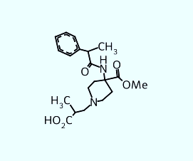 COC(=O)C1(NC(=O)C(C)c2ccccc2)CCN(CC(C)C(=O)O)CC1